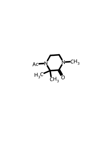 CC(=O)N1CCN(C)C(=O)C1(C)C